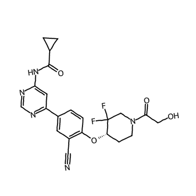 N#Cc1cc(-c2cc(NC(=O)C3CC3)ncn2)ccc1O[C@H]1CCN(C(=O)CO)CC1(F)F